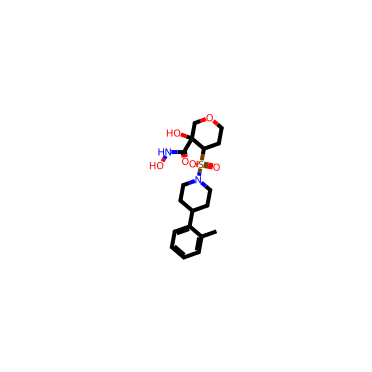 Cc1ccccc1C1CCN(S(=O)(=O)C2CCOCC2(O)C(=O)NO)CC1